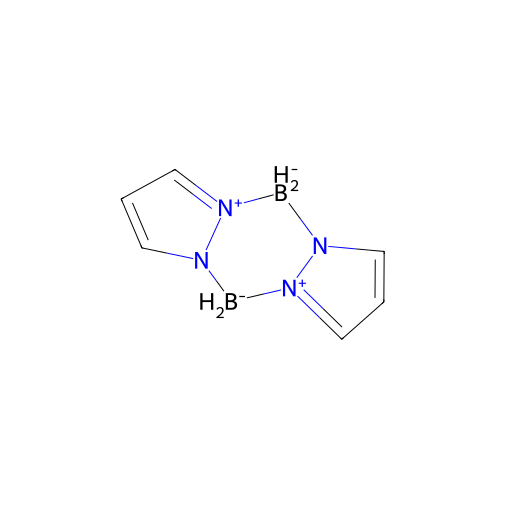 [BH2-]1n2ccc[n+]2[BH2-]n2ccc[n+]21